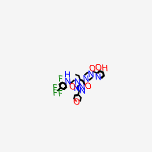 CCc1c(N2CCN(C(=O)c3ncccc3O)CC2)c(=O)n2nc(C3=CCOCC3)nc2n1CC(=O)Nc1ccc(C(F)(F)F)cc1F